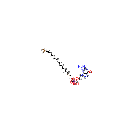 CS(C)(C)C#CCCCCCCCCCCCCCSCCOP(=O)(O)COCCn1cnc2c(=O)[nH]c(N)nc21